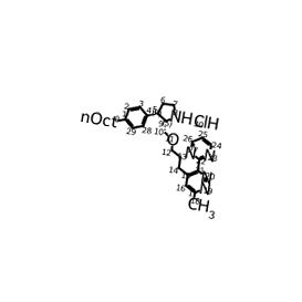 CCCCCCCCc1ccc([C@H]2CCN[C@@H]2COCCCc2cc(C)nnc2-c2ncccn2)cc1.Cl